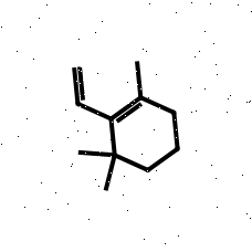 [CH]=CC1=C(C)CCCC1(C)C